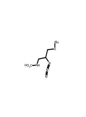 CC(C)(C)OCC(CNC(=O)O)N=[N+]=[N-]